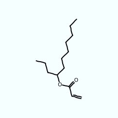 C=CC(=O)OC(CCC)CCCCCCC